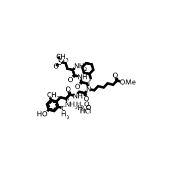 COC(=O)CCCCCN(C(=O)CNC(=O)[C@@H](N)Cc1c(C)cc(O)cc1C)[C@@H](CC1CCCCC1)C(=O)NC(=O)C(N)CC[S+](C)[O-].Cl.O.O